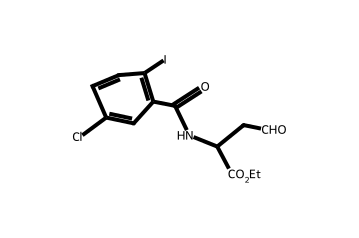 CCOC(=O)C(CC=O)NC(=O)c1cc(Cl)ccc1I